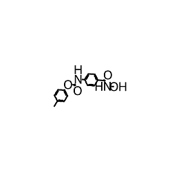 Cc1ccc(OC(=O)Nc2ccc(C(=O)NO)cc2)cc1